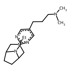 CCN1CC2CCC(C1)N2c1ncc(CCCN(C)C)cn1